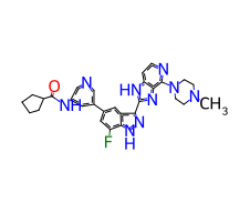 CN1CCN(c2nccc3[nH]c(-c4n[nH]c5c(F)cc(-c6cncc(NC(=O)C7CCCC7)c6)cc45)nc23)CC1